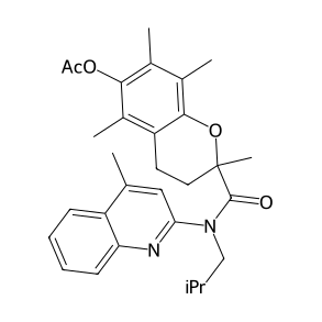 CC(=O)Oc1c(C)c(C)c2c(c1C)CCC(C)(C(=O)N(CC(C)C)c1cc(C)c3ccccc3n1)O2